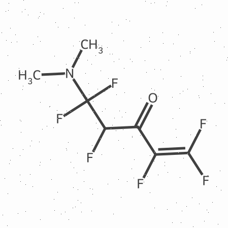 CN(C)C(F)(F)C(F)C(=O)C(F)=C(F)F